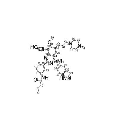 CCCC(=O)Nc1cccc(-c2nc(Nc3ccc4[nH]ncc4c3)c3cc(OCCN4CCN(C)CC4)c(OC)cc3n2)c1.Cl.Cl